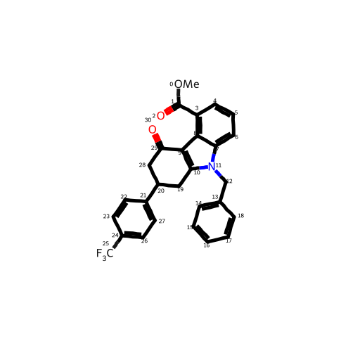 COC(=O)c1cccc2c1c1c(n2Cc2ccccc2)CC(c2ccc(C(F)(F)F)cc2)CC1=O